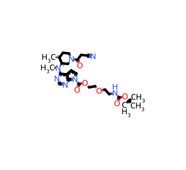 C[C@@H]1CCN(C(=O)CC#N)C[C@@H]1N(C)c1ncnc2c1ccn2C(=O)OCCOCCNC(=O)OC(C)(C)C